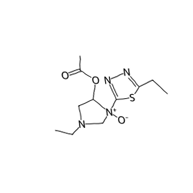 CCc1nnc([N+]2([O-])CN(CC)CC2OC(C)=O)s1